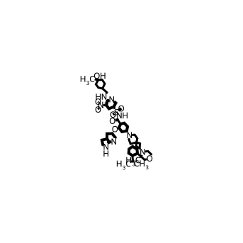 CC(C)c1ccccc1[C@]1(C)COCCN1C1CC2(CCN(c3ccc(C(=O)NS(=O)(=O)c4cnc(NCC5CCC(C)(O)CC5)c([N+](=O)[O-])c4)c(Oc4cnc5[nH]ccc5c4)c3)CC2)C1